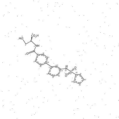 O=C(N[C@@H](CO)C(=O)O)c1ccc(-c2cccc(NS(=O)(=O)c3cccs3)c2)cc1